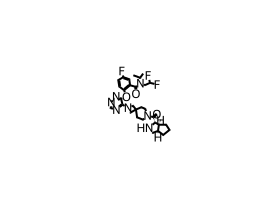 CC(C)N(CC(F)F)C(=O)c1cc(F)ccc1Oc1nncnc1N1CC2(CCN(C(=O)[C@H]3NC[C@@H]4CCC[C@@H]43)CC2)C1